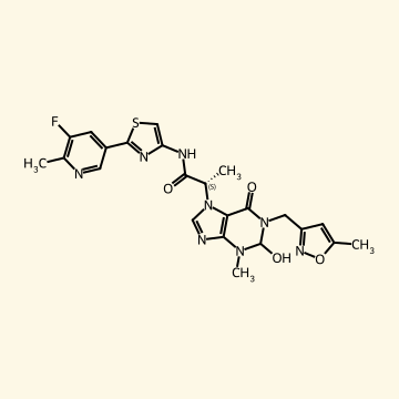 Cc1cc(CN2C(=O)c3c(ncn3[C@@H](C)C(=O)Nc3csc(-c4cnc(C)c(F)c4)n3)N(C)C2O)no1